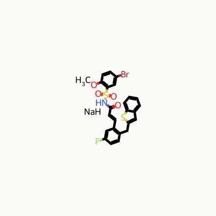 COc1ccc(Br)cc1S(=O)(=O)NC(=O)C=Cc1cc(F)ccc1Cc1cc2ccccc2s1.[NaH]